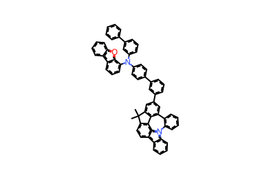 CC1(C)c2cc(-c3cccc(-c4ccc(N(c5cccc(-c6ccccc6)c5)c5cccc6c5oc5ccccc56)cc4)c3)cc3c2-c2c1ccc1c4ccccc4n(c21)-c1ccccc1-3